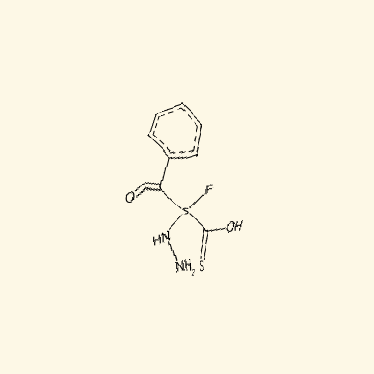 NNS(F)(C(=O)c1ccccc1)C(O)=S